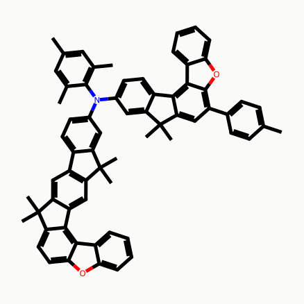 Cc1ccc(-c2cc3c(c4c2oc2ccccc24)-c2ccc(N(c4ccc5c(c4)C(C)(C)c4cc6c(cc4-5)C(C)(C)c4ccc5oc7ccccc7c5c4-6)c4c(C)cc(C)cc4C)cc2C3(C)C)cc1